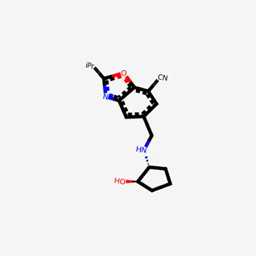 CC(C)c1nc2cc(CN[C@@H]3CCC[C@H]3O)cc(C#N)c2o1